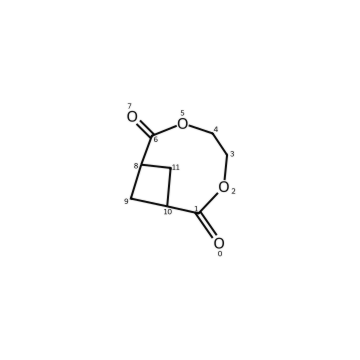 O=C1OCCOC(=O)C2CC1C2